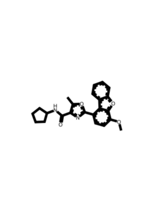 COc1ccc(-c2nc(C(=O)NC3CCCC3)c(C)o2)c2c1oc1ccccc12